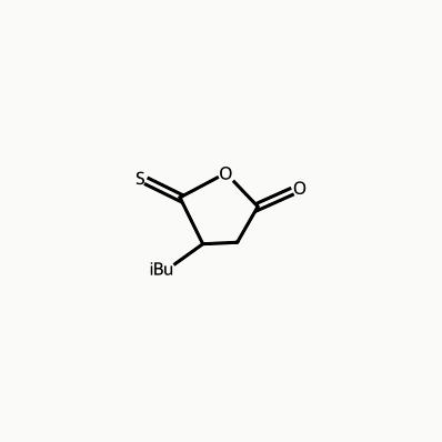 CCC(C)C1CC(=O)OC1=S